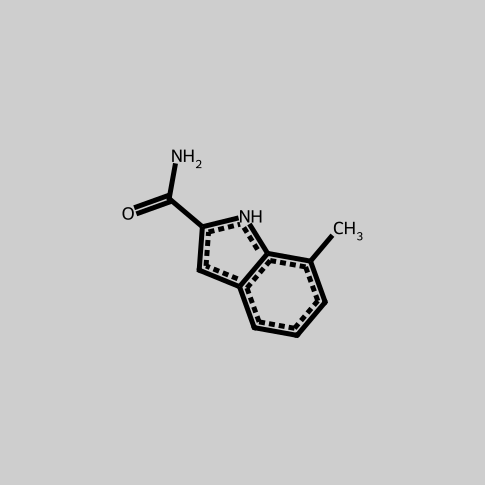 Cc1cccc2cc(C(N)=O)[nH]c12